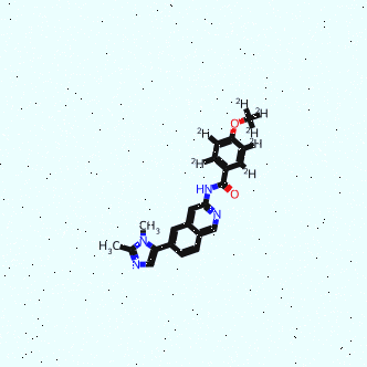 [2H]c1c([2H])c(C(=O)Nc2cc3cc(-c4cnc(C)n4C)ccc3cn2)c([2H])c([2H])c1OC([2H])([2H])[2H]